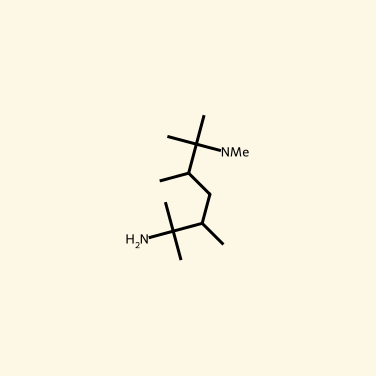 CNC(C)(C)C(C)CC(C)C(C)(C)N